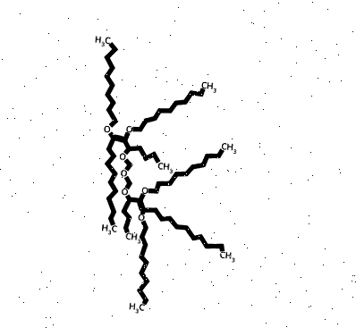 CCCCCCCCCCOC(CCCCCCCCCC)=C(OCCCCCCCCCC)C(CCCC)OCOCOC(CCCC)C(OCCCCCCCCCC)=C(CCCCCCCCCC)OCCCCCCCCCC